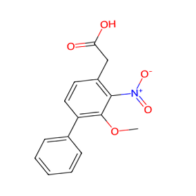 COc1c(-c2ccccc2)ccc(CC(=O)O)c1[N+](=O)[O-]